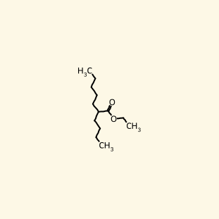 CCCCCC(CCCC)C(=O)OCC